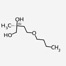 CCCCOCC[C@](C)(O)CO